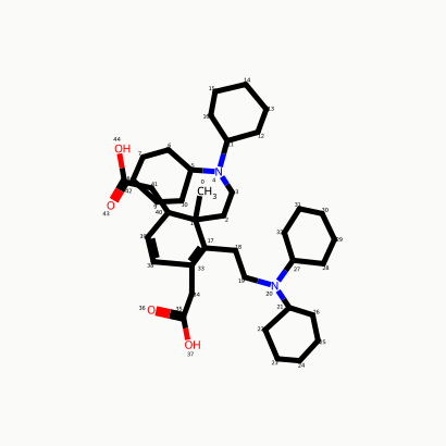 CC1(CCN(C2CCCCC2)C2CCCCC2)C(CCN(C2CCCCC2)C2CCCCC2)=C(CC(=O)O)C=CC1CC(=O)O